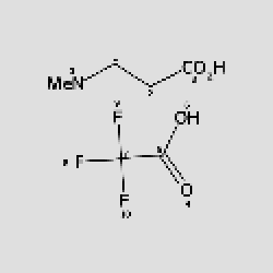 CNCCC(=O)O.O=C(O)C(F)(F)F